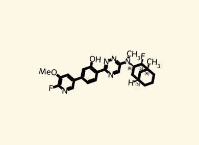 COc1cc(-c2ccc(-c3ncc(N(C)[C@@H]4C[C@H]5CCC[C@](C)(C5)[C@@H]4F)nn3)c(O)c2)cnc1F